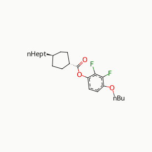 CCCCCCC[C@H]1CC[C@H](C(=O)Oc2ccc(OCCCC)c(F)c2F)CC1